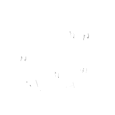 [2H]C1([2H])c2cn(C)nc2-c2ccnc(N)c2N1C